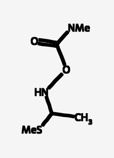 CNC(=O)ONC(C)SC